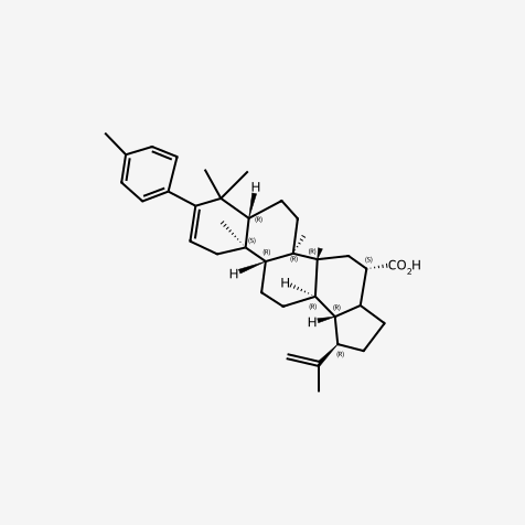 C=C(C)[C@@H]1CCC2[C@H]1[C@H]1CC[C@@H]3[C@@]4(C)CC=C(c5ccc(C)cc5)C(C)(C)[C@@H]4CC[C@@]3(C)[C@]1(C)C[C@@H]2C(=O)O